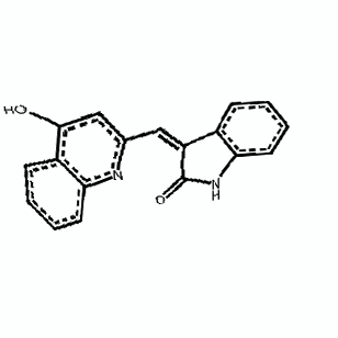 O=C1Nc2ccccc2C1=Cc1cc(O)c2ccccc2n1